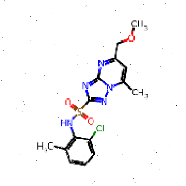 COCc1cc(C)n2nc(S(=O)(=O)Nc3c(C)cccc3Cl)nc2n1